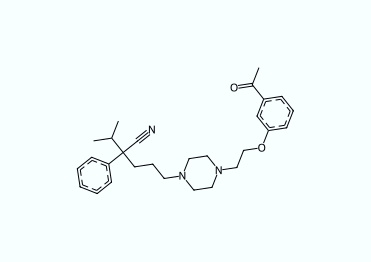 CC(=O)c1cccc(OCCN2CCN(CCCC(C#N)(c3ccccc3)C(C)C)CC2)c1